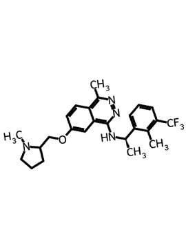 Cc1c([C@@H](C)Nc2nnc(C)c3ccc(OCC4CCCN4C)cc23)cccc1C(F)(F)F